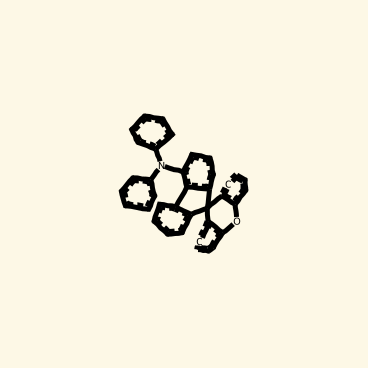 c1ccc(N(c2ccccc2)c2cccc3c2-c2ccccc2C32c3ccccc3Oc3ccccc32)cc1